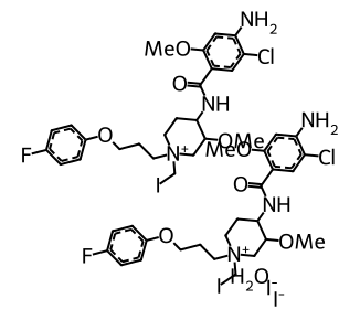 COc1cc(N)c(Cl)cc1C(=O)NC1CC[N+](CI)(CCCOc2ccc(F)cc2)CC1OC.COc1cc(N)c(Cl)cc1C(=O)NC1CC[N+](CI)(CCCOc2ccc(F)cc2)CC1OC.O.[I-].[I-]